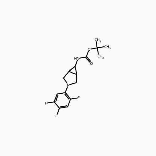 CC(C)(C)OC(=O)NC1C2CN(c3cc(F)c(F)cc3F)CC21